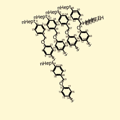 CCCCCCCc1ccc(COc2ccc([S])cc2)cc1.CCCCCCCc1ccc(COc2ccc([S])cc2)cc1.CCCCCCCc1ccc(COc2ccc([S])cc2)cc1.CCCCCCCc1ccc(COc2ccc([S])cc2)cc1.CCCCCCCc1ccc(COc2ccc([S])cc2)cc1.F.F.F.F.F